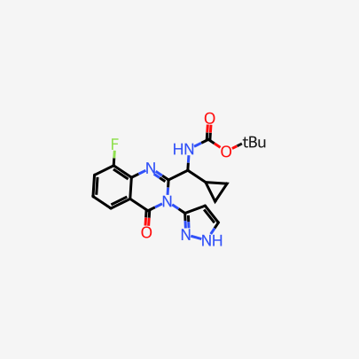 CC(C)(C)OC(=O)NC(c1nc2c(F)cccc2c(=O)n1-c1cc[nH]n1)C1CC1